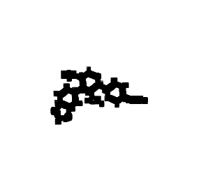 COc1ccc(-c2[c]cc(C)c(-c3ccc4c(c3)OCO4)c2C)cc1